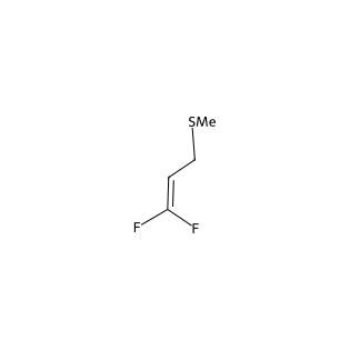 [CH2]SCC=C(F)F